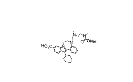 COC(=O)N(C)CCN(C)CCN1CCn2c(c(C3CCCCC3)c3ccc(C(=O)O)cc32)-c2ccccc21